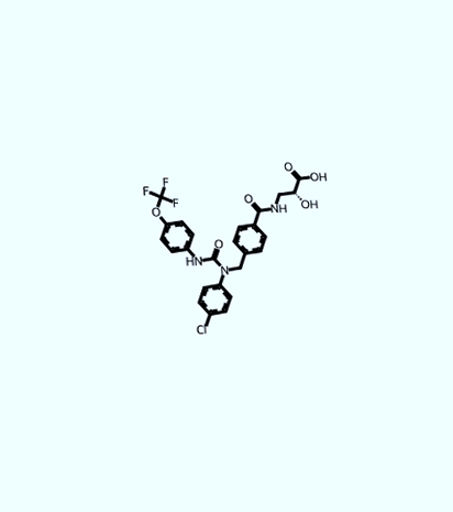 O=C(NC[C@@H](O)C(=O)O)c1ccc(CN(C(=O)Nc2ccc(OC(F)(F)F)cc2)c2ccc(Cl)cc2)cc1